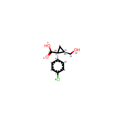 O=C(O)[C@@]1(c2ccc(Cl)cc2)C[C@H]1CO